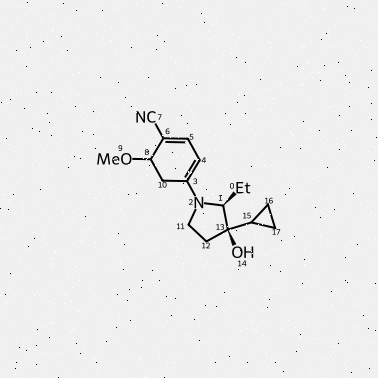 CC[C@@H]1N(C2=CC=C(C#N)C(OC)C2)CC[C@@]1(O)C1CC1